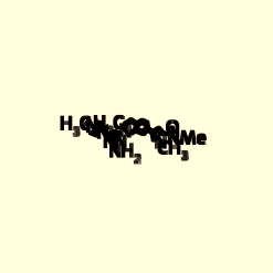 CNC(=O)c1cc(-c2ccc3c(c2)CN(c2cc(N4CCN(C)CC4)nc(N)n2)C(C)C3)cn1C